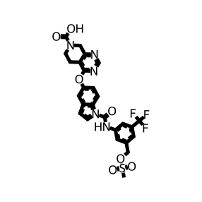 CS(=O)(=O)OCc1cc(NC(=O)n2ccc3cc(Oc4ncnc5c4CCN(C(=O)O)C5)ccc32)cc(C(F)(F)F)c1